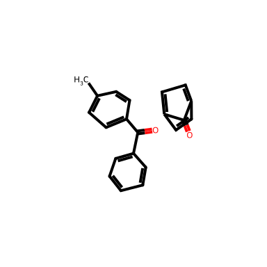 Cc1ccc(C(=O)c2ccccc2)cc1.O=C1C2=CC=C1C=C2